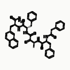 CC(NC(=O)[C@H](Cc1ccccc1)NC(=O)Cc1ccccc1)C(=O)C(=O)N[C@@H](Cc1ccccc1)C(=O)N[C@@H](Cc1ccc2ccccc2c1)C(N)=O